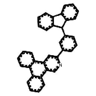 c1cc(-c2cc3c4ccccc4c4ccccc4c3cn2)cc(C2c3ccccc3-c3ccccc32)c1